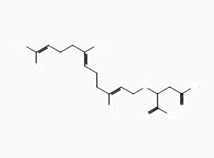 CC(C)=CCCC(C)=CCCC(C)=CCNC(CC(=O)O)C(=O)O